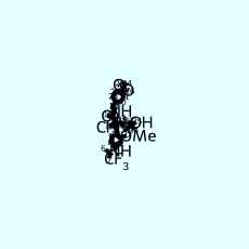 COc1cc(NC(C)C(F)(F)F)ccc1-c1c(Cl)c(C(=O)NCC2CCC(S(C)(=O)=O)CC2)nn1CC(C)(C)O